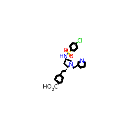 O=C(O)c1ccc(C=C[C@@H]2C[C@@H](NS(=O)(=O)c3ccc(Cl)cc3)CN2Cc2cccnc2)cc1